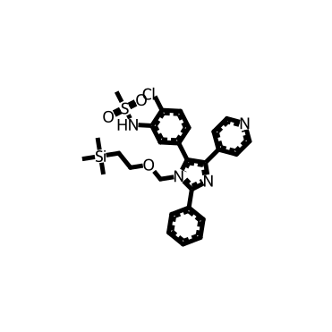 C[Si](C)(C)CCOCn1c(-c2ccccc2)nc(-c2ccncc2)c1-c1ccc(Cl)c(NS(C)(=O)=O)c1